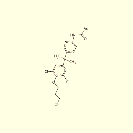 CC(=O)C(=O)Nc1ccc(C(C)(C)c2cc(Cl)c(OCCCCl)c(Cl)c2)cc1